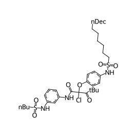 CCCCCCCCCCCCCCCCS(=O)(=O)Nc1ccc(OC(Cl)(C(=O)Nc2cccc(NS(=O)(=O)CCCC)c2)C(=O)C(C)(C)C)cc1